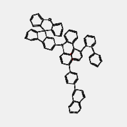 c1ccc(-c2ccccc2-c2ccccc2-c2ccccc2N(c2ccc(-c3ccc(-c4ccc5ccccc5c4)cc3)cc2)c2ccc3c(c2)C2(c4ccccc4Oc4ccccc42)c2ccccc2-3)cc1